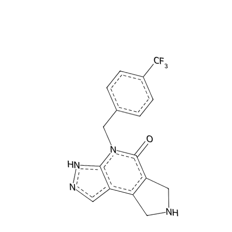 O=c1c2c(c3cn[nH]c3n1Cc1ccc(C(F)(F)F)cc1)CNC2